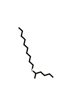 CCCCCCCCCCSC(C)CCCC